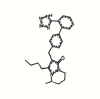 CCCCc1c(Cc2ccc(-c3ccccc3-c3nnn[nH]3)cc2)c(=O)n2n1C(C)CC[CH]2